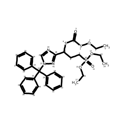 CCOSC(=O)SC(CCP(=O)(OCC)OCC)c1ncn(C(c2ccccc2)(c2ccccc2)c2ccccc2)n1